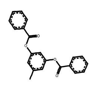 Cc1cc(OC(=O)c2ccccc2)cc(OC(=O)c2ccccc2)c1